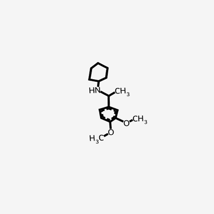 COc1ccc(C(C)NC2CCCCC2)cc1OC